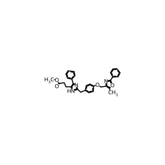 COC(=O)CCc1[nH]c(Cc2ccc(OCc3nc(-c4ccccc4)oc3C)cc2)nc1-c1ccccc1